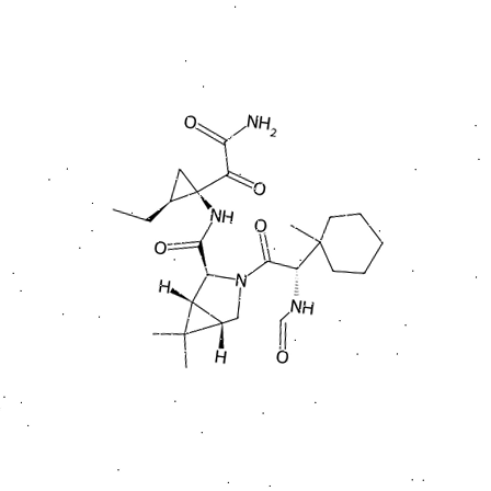 CC[C@H]1C[C@]1(NC(=O)[C@@H]1[C@@H]2[C@H](CN1C(=O)[C@@H](NC=O)C1(C)CCCCC1)C2(C)C)C(=O)C(N)=O